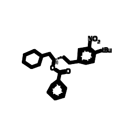 CC(C)(C)c1ccc(CC[C@@H](CC2CCCCC2)OC(=O)c2ccccc2)cc1[N+](=O)[O-]